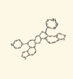 c1cc(-c2cc3cc4cc(-c5ccncc5)c5c6ccsc6ccc5c4cc3c3ccc4sccc4c23)ccn1